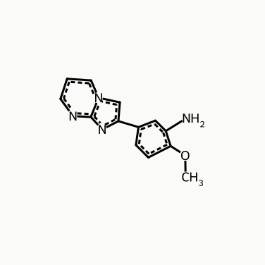 COc1ccc(-c2cn3cccnc3n2)cc1N